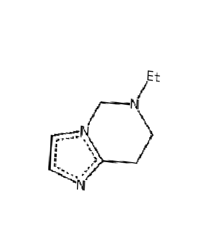 CCN1CCc2nccn2C1